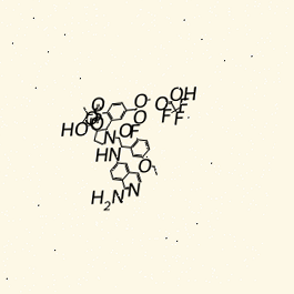 CCOc1ccc(F)c([C@H](Nc2ccc3c(N)nccc3c2)C(=O)N2CCC(C(=O)O)C2c2cc(C(=O)OC)ccc2S(=O)(=O)C(C)C)c1.O=C(O)C(F)(F)F